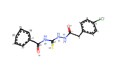 O=C(Cc1ccc(Cl)cc1)NNC(=S)NC(=O)c1ccccc1